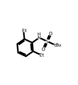 CCc1cccc(CC)c1NS(=O)(=O)C(C)(C)C